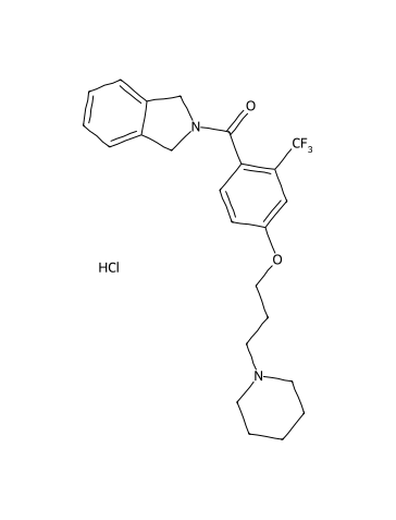 Cl.O=C(c1ccc(OCCCN2CCCCC2)cc1C(F)(F)F)N1Cc2ccccc2C1